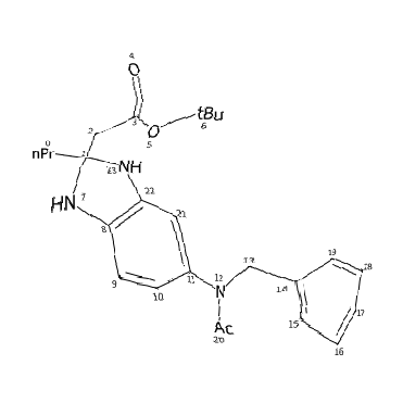 CCCC1(CC(=O)OC(C)(C)C)Nc2ccc(N(Cc3ccccc3)C(C)=O)cc2N1